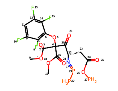 COC(=O)C(Oc1c(F)c(F)cc(F)c1F)(C(=O)OC)C(=O)[C@H](CC(=O)OP)N=PP